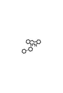 c1ccc(-c2cccc(-n3c4nc5ccccc5c-4cc4ccccc43)c2)cc1